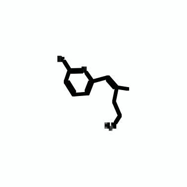 CC(=Cc1cccc(Br)n1)CCN